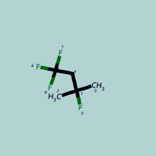 CC(C)(F)CC(F)(F)F